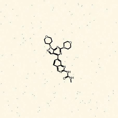 CNC(=O)Nc1ncc2ccc(-c3nc(N4CCOCC4)nc4c3cnn4C3CCOCC3)cc2n1